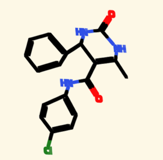 CC1=C(C(=O)Nc2ccc(Cl)cc2)C(c2ccccc2)NC(=O)N1